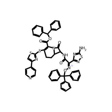 Nc1nc(/C(=N/OC(c2ccccc2)(c2ccccc2)c2ccccc2)C(=O)NC2C(=O)N3C(C(=O)OC(c4ccccc4)c4ccccc4)=C(Sc4nc(-c5ccncc5)cs4)CCC23)ns1